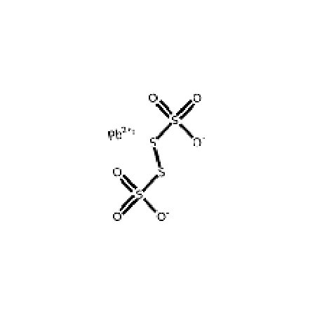 O=S(=O)([O-])SSS(=O)(=O)[O-].[Pb+2]